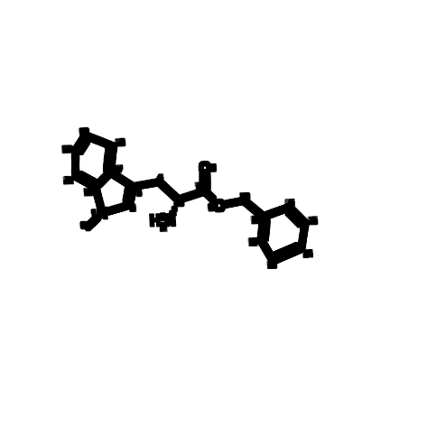 Cn1cc(C[C@@H](N)C(=O)OCc2ccccc2)c2ccccc21